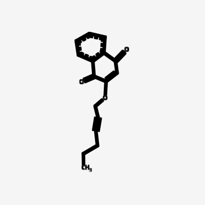 CCCC#CCOC1=CC(=O)c2ccccc2C1=O